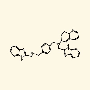 C1=CC2=CC(N(Cc3ccc(CNCc4nc5ccccc5[nH]4)cc3)Cc3nc4ccccc4[nH]3)CCC2N=C1